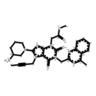 CC#CCn1c(N2CCCC(N)C2)nc2c1c(=O)n(Cc1nc(C)c3ccccc3n1)c(=O)n2CC(=O)OC